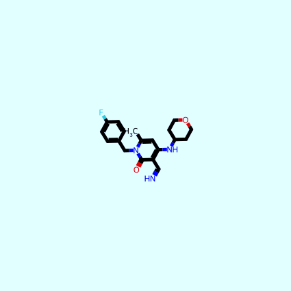 Cc1cc(NC2CCOCC2)c(C=N)c(=O)n1Cc1ccc(F)cc1